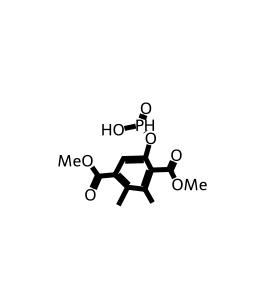 COC(=O)c1cc(O[PH](=O)O)c(C(=O)OC)c(C)c1C